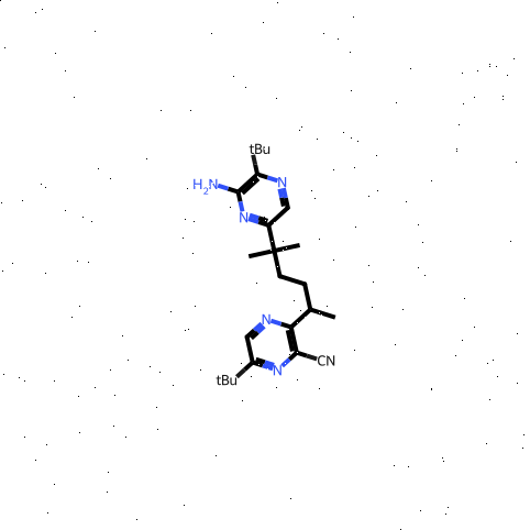 CC(CCC(C)(C)c1cnc(C(C)(C)C)c(N)n1)c1ncc(C(C)(C)C)nc1C#N